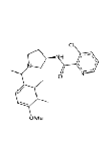 COC1=CC=C(C(C)N2CC[C@@H](NC(=O)c3ncccc3Cl)C2)C(C)C1C